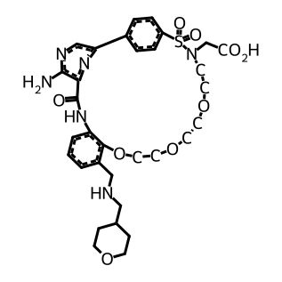 Nc1ncc2nc1C(=O)Nc1cccc(CNCC3CCOCC3)c1OCCOCCOCCN(CC(=O)O)S(=O)(=O)c1ccc-2cc1